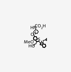 COc1cc(C(=O)N2CCCC(NC(=O)O)C2)cc2sc(-c3cc4ccccc4n3CC3CC3)c(CCO)c12